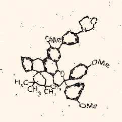 COc1ccc(C2(c3ccc(OC)cc3)C=Cc3c4c(c5cc(OC)c(-c6ccc(N7CCOCC7)cc6)cc5c3O2)-c2ccccc2C42CC(C)(C)CC(C)(C)C2)cc1